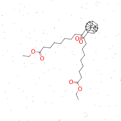 CCOC(=O)CCCCCCCC(=O)[C]12[CH]3[CH]4[CH]5[CH]1[Fe]45321678[CH]2[CH]1[CH]6[C]7(C(=O)CCCCCCCC(=O)OCC)[CH]28